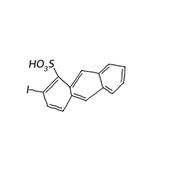 O=S(=O)(O)c1c(I)ccc2cc3ccccc3cc12